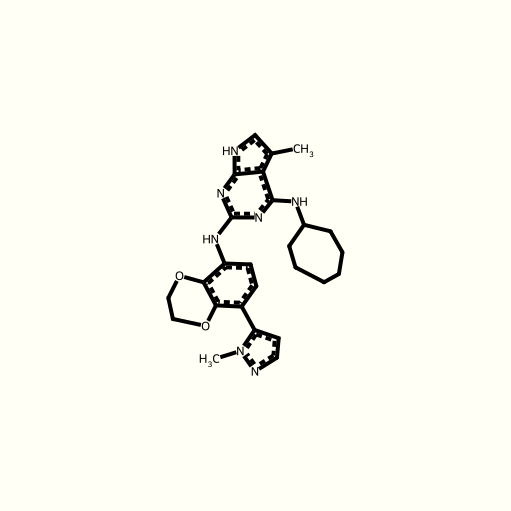 Cc1c[nH]c2nc(Nc3ccc(-c4ccnn4C)c4c3OCCO4)nc(NC3CCCCCC3)c12